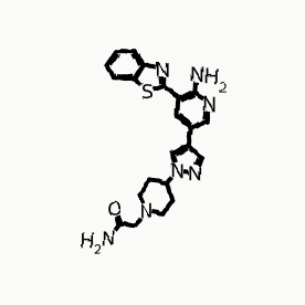 NC(=O)CN1CCC(n2cc(-c3cnc(N)c(-c4nc5ccccc5s4)c3)cn2)CC1